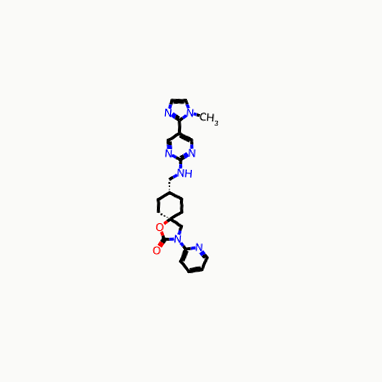 Cn1ccnc1-c1cnc(NC[C@H]2CC[C@]3(CC2)CN(c2ccccn2)C(=O)O3)nc1